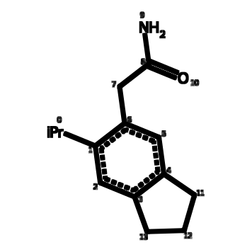 CC(C)c1cc2c(cc1CC(N)=O)CCC2